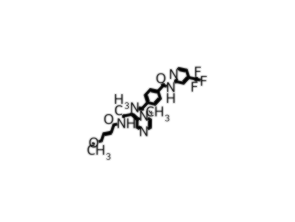 COC/C=C/C(=O)NC(C)C1=C2C=NC=C[N+]2(C)C(c2ccc(C(=O)Nc3cc(C(F)(F)F)ccn3)cc2)=N1